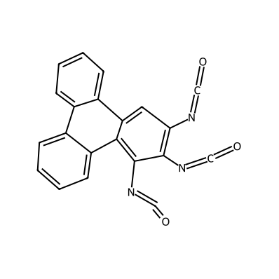 O=C=Nc1cc2c3ccccc3c3ccccc3c2c(N=C=O)c1N=C=O